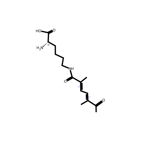 CC(=O)/C(C)=C/C=C(\C)C(=O)NCCCC[C@H](N)C(=O)O